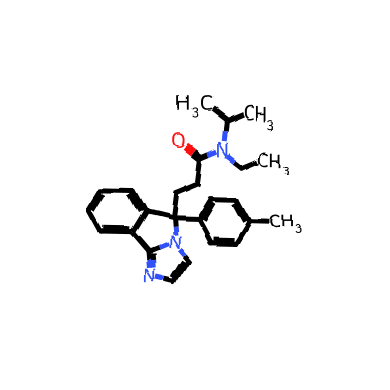 CCN(C(=O)CCC1(c2ccc(C)cc2)c2ccccc2-c2nccn21)C(C)C